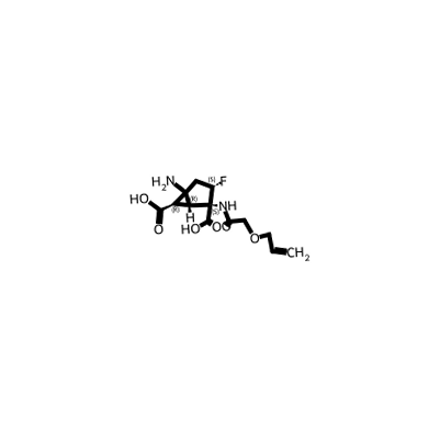 C=CCOCC(=O)N[C@]1(C(=O)O)[C@@H]2[C@@H](C(=O)O)C2(N)C[C@@H]1F